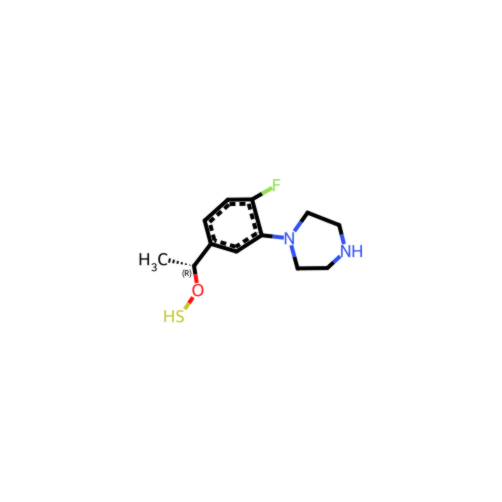 C[C@@H](OS)c1ccc(F)c(N2CCNCC2)c1